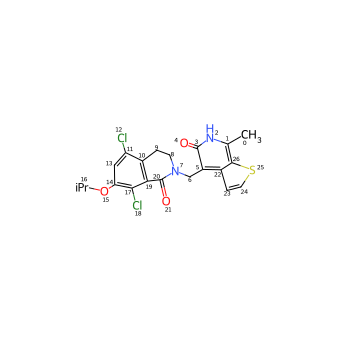 Cc1[nH]c(=O)c(CN2CCc3c(Cl)cc(OC(C)C)c(Cl)c3C2=O)c2ccsc12